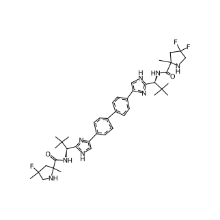 CC1(F)CNC(C)(C(=O)N[C@H](c2nc(-c3ccc(-c4ccc(-c5c[nH]c([C@@H](NC(=O)C6(C)CC(F)(F)CN6)C(C)(C)C)n5)cc4)cc3)c[nH]2)C(C)(C)C)C1